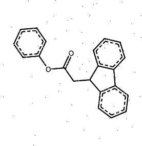 O=C(CC1c2ccccc2-c2ccccc21)Oc1ccccc1